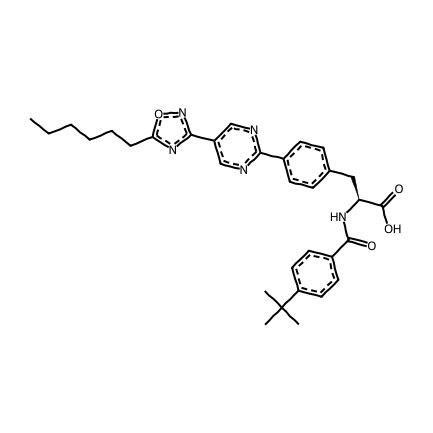 CCCCCCc1nc(-c2cnc(-c3ccc(C[C@H](NC(=O)c4ccc(C(C)(C)C)cc4)C(=O)O)cc3)nc2)no1